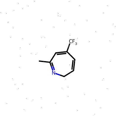 CC1=NCC=CC(C(F)(F)F)=C1